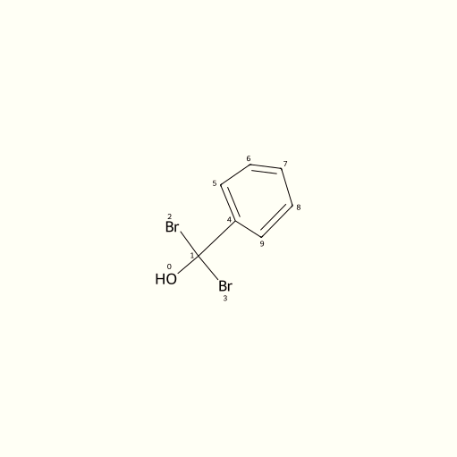 OC(Br)(Br)c1ccccc1